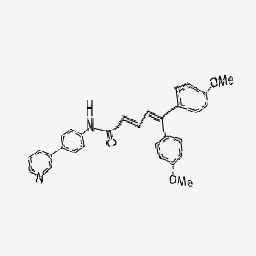 COc1ccc(C(=CC=CC(=O)Nc2ccc(-c3cccnc3)cc2)c2ccc(OC)cc2)cc1